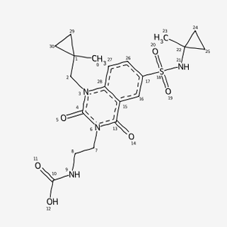 CC1(Cn2c(=O)n(CCNC(=O)O)c(=O)c3cc(S(=O)(=O)NC4(C)CC4)ccc32)CC1